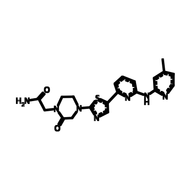 Cc1ccnc(Nc2cccc(-c3cnc(N4CCN(CC(N)=O)C(=O)C4)s3)n2)c1